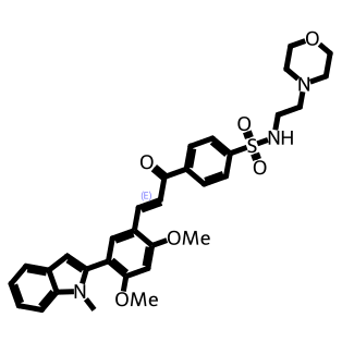 COc1cc(OC)c(-c2cc3ccccc3n2C)cc1/C=C/C(=O)c1ccc(S(=O)(=O)NCCN2CCOCC2)cc1